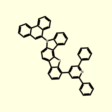 c1ccc(-c2cc(-c3cccc4c3sc3c4ccc4c3c3ccccc3n4-c3cc4ccccc4c4ccccc34)cc(-c3ccccc3)n2)cc1